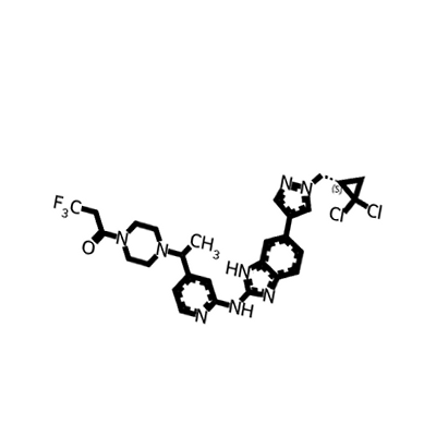 CC(c1ccnc(Nc2nc3ccc(-c4cnn(C[C@@H]5CC5(Cl)Cl)c4)cc3[nH]2)c1)N1CCN(C(=O)CC(F)(F)F)CC1